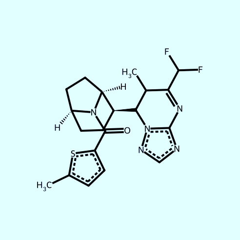 Cc1ccc(C(=O)N2[C@H]3CC[C@H](C4C(C)C(C(F)F)=Nc5ncnn54)[C@@H]2CC3)s1